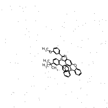 COc1cccc(-c2nc3cc4c5c(c3n2-c2ccc(C(C)(C)C)cc2-c2ccccc2)Oc2ccccc2B5c2ccccc2O4)c1